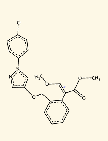 CO/C=C(/C(=O)OC)c1ccccc1COc1cnn(-c2ccc(Cl)cc2)c1